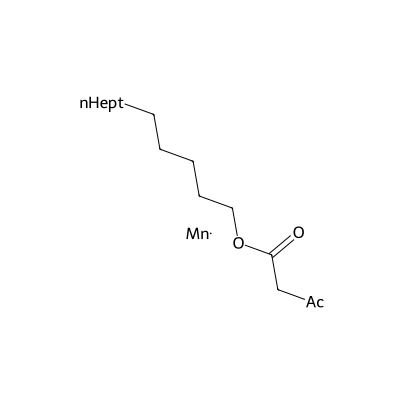 CCCCCCCCCCCCOC(=O)CC(C)=O.[Mn]